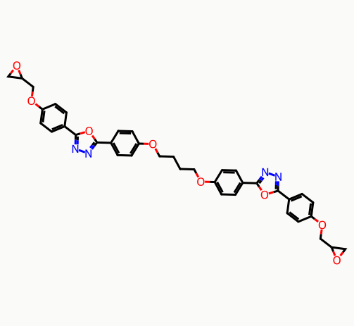 c1cc(-c2nnc(-c3ccc(OCC4CO4)cc3)o2)ccc1OCCCCOc1ccc(-c2nnc(-c3ccc(OCC4CO4)cc3)o2)cc1